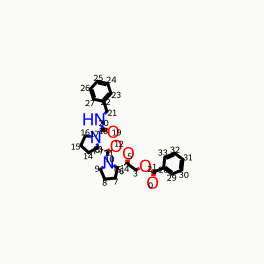 O=C(OCC(=O)[C@@H]1CCCN1C(=O)[C@@H]1CCCN1C(=O)NCc1ccccc1)c1ccccc1